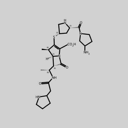 C[C@@H](NC(=O)CC1CCCN1)[C@H]1C(=O)N2C(C(=O)O)=C(S[C@@H]3CN[C@H](C(=O)N4CCC(N)C4)C3)[C@H](C)[C@H]12